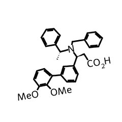 COc1cccc(-c2cccc([C@H](CC(=O)O)N(Cc3ccccc3)[C@H](C)c3ccccc3)c2)c1OC